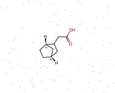 O=C(O)CC1C[C@@H]2CC[C@H]1C2